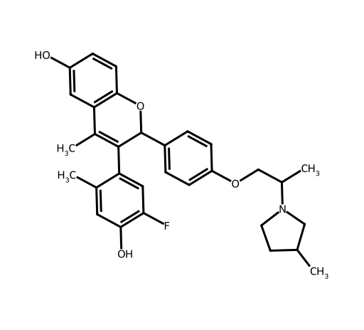 CC1=C(c2cc(F)c(O)cc2C)C(c2ccc(OCC(C)N3CCC(C)C3)cc2)Oc2ccc(O)cc21